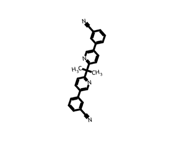 CC(C)(c1ccc(-c2cccc(C#N)c2)cn1)c1ccc(-c2cccc(C#N)c2)cn1